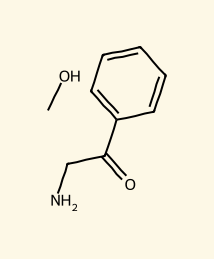 CO.NCC(=O)c1ccccc1